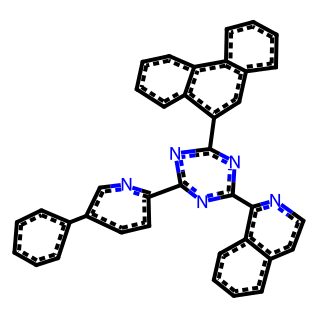 c1ccc(-c2ccc(-c3nc(-c4nccc5ccccc45)nc(-c4cc5ccccc5c5ccccc45)n3)nc2)cc1